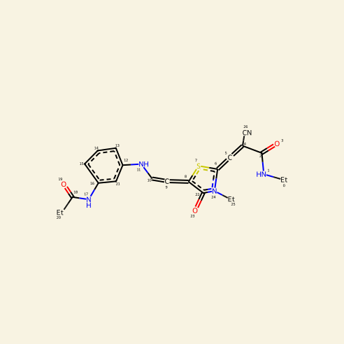 CCNC(=O)C(=C=c1sc(=C=CNc2cccc(NC(=O)CC)c2)c(=O)n1CC)C#N